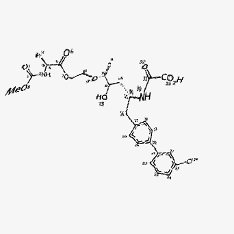 COC(=O)N[C@H](C(=O)OCOC(=O)C(O)C[C@@H](Cc1ccc(-c2cccc(Cl)c2)cc1)NC(=O)C(=O)O)C(C)C